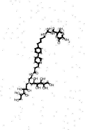 N=C(NCCCCc1ccc(-c2ccc(CCC(=O)NCCN(CC(O)C(O)C(O)C(O)CO)CC(O)C(O)C(O)C(O)CO)nc2)cc1)NC(=O)c1nc(Cl)c(N)nc1N